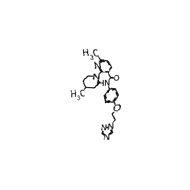 Cc1ccc(C(=O)Nc2ccc(OCCn3cncn3)cc2)c(N2CCC(C)CC2)n1